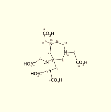 O=C(O)CCC1(N(CC(=O)O)CC(=O)O)CN(CC(=O)O)CCN(CC(=O)O)C1